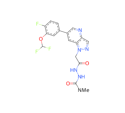 CNC(=O)NNC(=O)Cn1ncc2ncc(-c3ccc(F)c(OC(F)F)c3)cc21